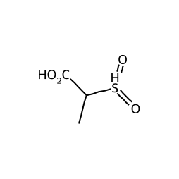 CC(C(=O)O)[SH](=O)=O